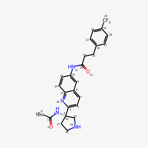 CC(C)(C)C(=O)N[C@@]1(c2ccc3cc(NC(=O)CCc4ccc(C(F)(F)F)cc4)ccc3n2)CCNC1